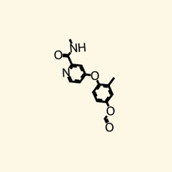 CNC(=O)c1cc(Oc2ccc(OC=O)cc2C)ccn1